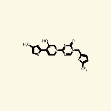 Cc1csc(C2=CCN(c3ncn(Cc4ccc(C(F)(F)F)s4)c(=O)n3)C[C@@H]2O)c1